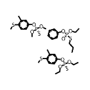 CCCSP(=O)(OCC)Oc1ccccc1.CCOP(=S)(OCC)Oc1ccc(SC)c(C)c1.COP(=S)(OC)Oc1ccc(SC)c(C)c1